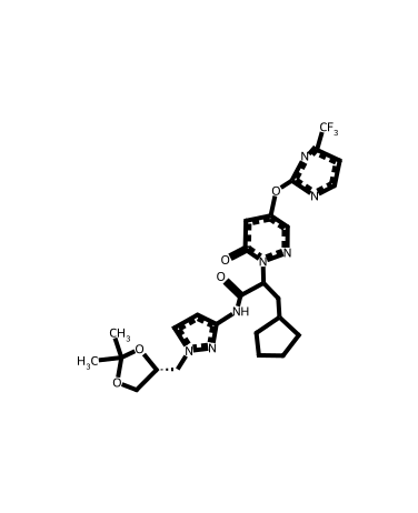 CC1(C)OC[C@@H](Cn2ccc(NC(=O)C(CC3CCCC3)n3ncc(Oc4nccc(C(F)(F)F)n4)cc3=O)n2)O1